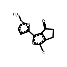 Cn1ccc(-c2sc(Cl)c3c2C(=O)CC3)n1